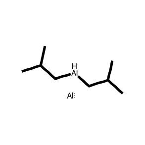 CC(C)[CH2][AlH][CH2]C(C)C.[Al]